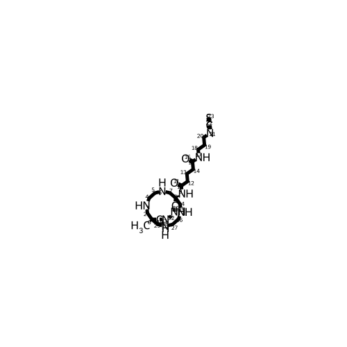 C[C@]12CNCCNC[C@](NC(=O)CCCC(=O)NCCCN=C=S)(CNCCNC1)CNCNC2